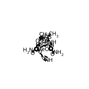 CCc1nc(C)sc1C(=O)Nc1nc2cc(C(N)=O)cc(OC)c2n1CC=CCn1c(NC(=O)c2cc(C)nn2CC)nc2cc(C(N)=O)cc(OCCCN3CCNCC3)c21